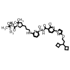 CC(C)(C)OC(=O)N1CC(CCCNc2cccc([S+]([O-])NC(=O)c3ccc(-n4ccc(OCCC(C5CCC5)C5CCC5)n4)nc3Cl)n2)CC1(C)C